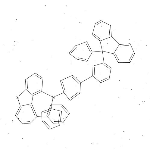 c1ccc(-c2cccc3sc4cccc(N(c5ccccc5)c5ccc(-c6cccc(C7(c8ccccc8)c8ccccc8-c8ccccc87)c6)cc5)c4c23)cc1